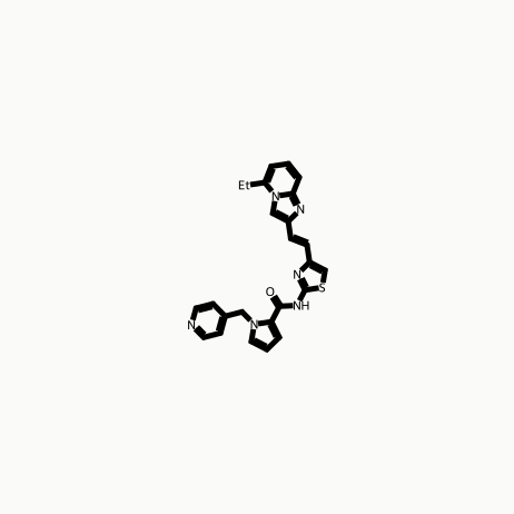 CCc1cccc2nc(/C=C/c3csc(NC(=O)c4cccn4Cc4ccncc4)n3)cn12